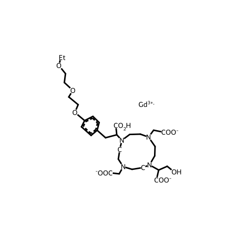 CCOCCOCCOc1ccc(CC(C(=O)O)N2CCN(CC(=O)[O-])CCN(C(CO)C(=O)[O-])CCN(CC(=O)[O-])CC2)cc1.[Gd+3]